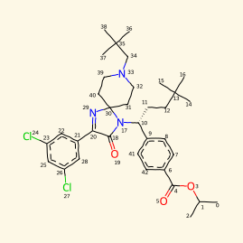 CC(C)OC(=O)c1ccc([C@@H](CCC(C)(C)C)N2C(=O)C(c3cc(Cl)cc(Cl)c3)=NC23CCN(CC(C)(C)C)CC3)cc1